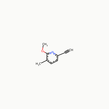 C#Cc1ccc(C)c(OC)n1